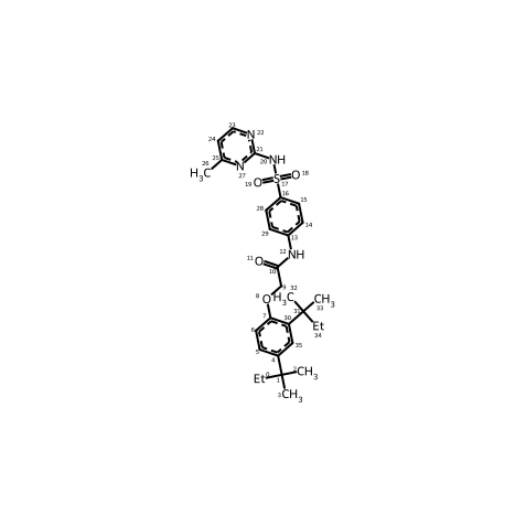 CCC(C)(C)c1ccc(OCC(=O)Nc2ccc(S(=O)(=O)Nc3nccc(C)n3)cc2)c(C(C)(C)CC)c1